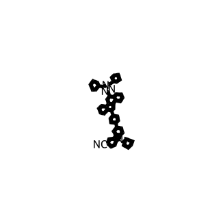 N#Cc1ccc2c(c1)c1cc(-c3ccc(-c4cc5c6ccccc6c(-c6nc(-c7ccccc7)nc(-c7ccccc7)n6)cc5c5ccccc45)cc3)ccc1n2-c1ccccc1